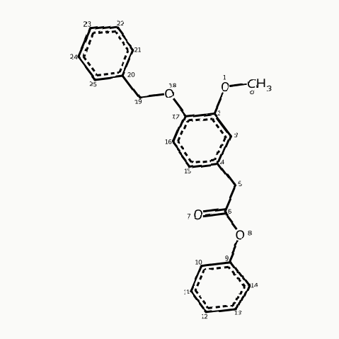 COc1cc(CC(=O)Oc2ccccc2)ccc1OCc1ccccc1